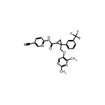 Cc1ncc(OCC2(c3cccc(C(F)(F)F)c3)CC2C(=O)Nc2ccc(C#N)cn2)c(C)n1